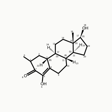 CC1C[C@H]2C(=C(O)C1=O)CC[C@@H]1[C@@H]2CC[C@]2(C)[C@@H](O)CC[C@@H]12